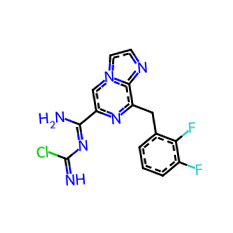 N=C(Cl)/N=C(\N)c1cn2ccnc2c(Cc2cccc(F)c2F)n1